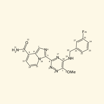 COc1nnc(-c2ncc3c(C(N)=O)cccn23)nc1NCc1cccc(F)c1